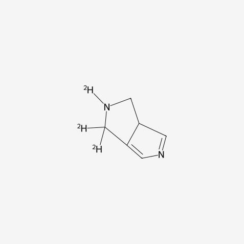 [2H]N1CC2C=NC=C2C1([2H])[2H]